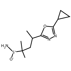 CC(CC(C)(C)[S+](N)[O-])c1nnc(C2CC2)o1